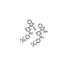 CNc1nc2ccccc2n1-c1cncc(Nc2ccc(OC(F)(F)F)cc2)n1.N#Cc1nc2ccccc2n1-c1cncc(Nc2ccc(OC(F)(F)F)cc2)n1